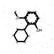 COc1cccc(O)c1C1CCCCC1